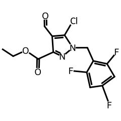 CCOC(=O)c1nn(Cc2c(F)cc(F)cc2F)c(Cl)c1C=O